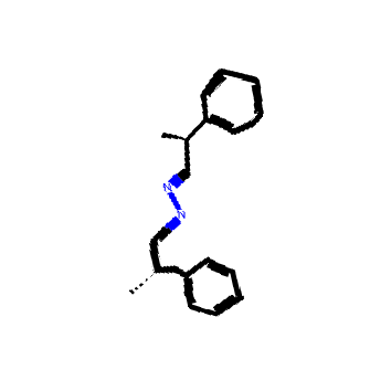 C[C@H](/C=N/N=C/[C@@H](C)c1ccccc1)c1ccccc1